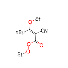 CCCCC(OCC)=C(C#N)C(=O)OOCC